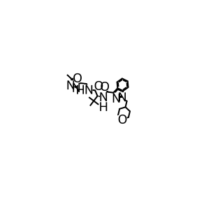 Cc1nnc(CNC(=O)[C@@H](NC(=O)c2nn(CC3CCOCC3)c3ccccc23)C(C)(C)C)o1